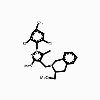 COCC1Cc2ccccc2CN1Cc1c(SC)nn(-c2c(Cl)cc(C(F)(F)F)cc2Cl)c1C